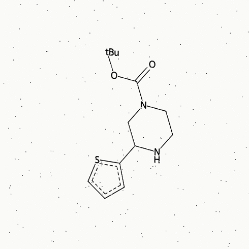 CC(C)(C)OC(=O)N1CCNC(c2cccs2)C1